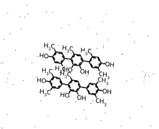 Cc1cc(-c2cc(C)c(-c3cc(C)c(O)c(C)c3)c(O)c2O)cc(C)c1O.Cc1cc(-c2cc(C)c(-c3cc(C)c(O)cc3C)c(O)c2O)c(C)cc1O